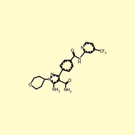 NC(=O)c1c(-c2ccc(C(=O)Nc3cc(C(F)(F)F)ccn3)cc2)nn(C2CCOCC2)c1N